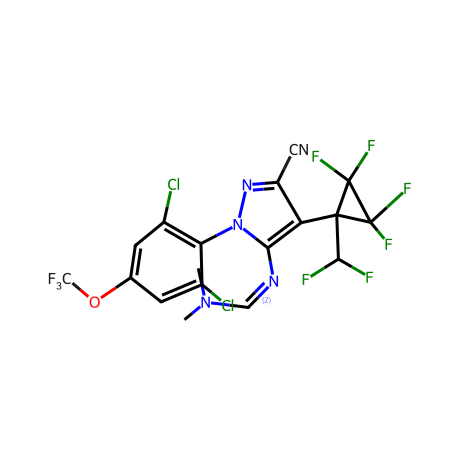 CN(C)/C=N\c1c(C2(C(F)F)C(F)(F)C2(F)F)c(C#N)nn1-c1c(Cl)cc(OC(F)(F)F)cc1Cl